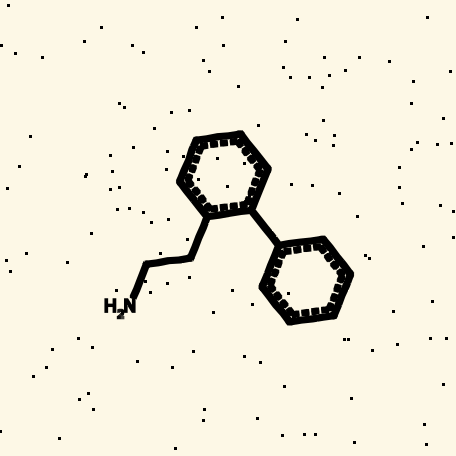 NCCc1ccccc1-c1ccccc1